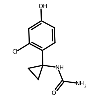 NC(=O)NC1(c2ccc(O)cc2Cl)CC1